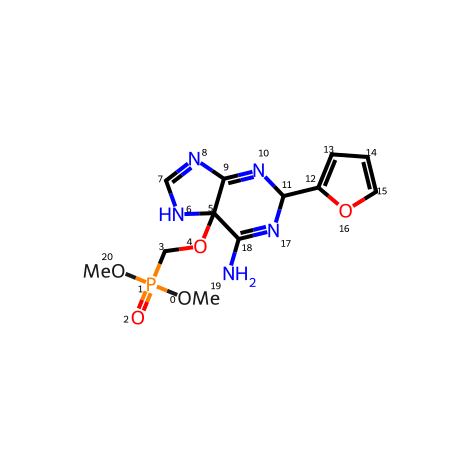 COP(=O)(COC12NC=NC1=NC(c1ccco1)N=C2N)OC